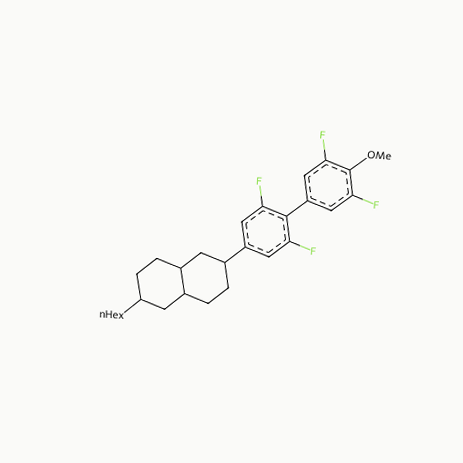 CCCCCCC1CCC2CC(c3cc(F)c(-c4cc(F)c(OC)c(F)c4)c(F)c3)CCC2C1